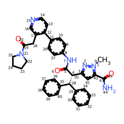 Cn1nc([C@@H](C(=O)Nc2ccc(-c3ccncc3CC(=O)N3CCCC3)cc2)C(c2ccccc2)c2ccccc2)cc1C(N)=O